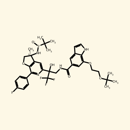 CC(C)(C)OCCOc1cc(C(=O)NCC(O)(c2cc3c(c(-c4ccc(F)cc4)n2)OC[C@@]3(C)N[S+]([O-])C(C)(C)C)C(F)(F)F)cc2cc[nH]c12